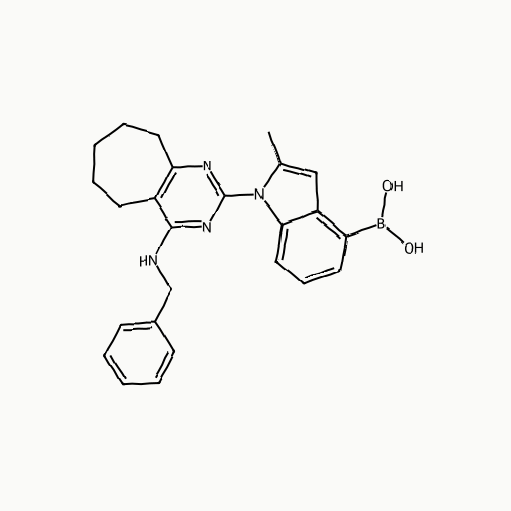 Cc1cc2c(B(O)O)cccc2n1-c1nc2c(c(NCc3ccccc3)n1)CCCCC2